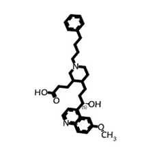 COc1ccc2nccc([C@@H](O)CCC3CCN(CCCCc4ccccc4)CC3CCC(=O)O)c2c1